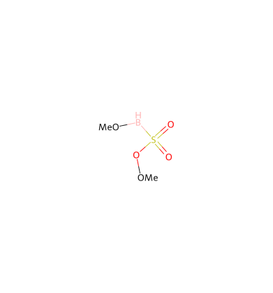 COBS(=O)(=O)OOC